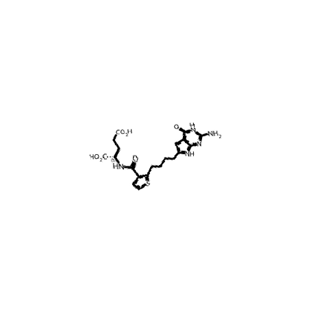 Nc1nc2[nH]c(CCCCc3sccc3C(=O)N[C@@H](CCC(=O)O)C(=O)O)cc2c(=O)[nH]1